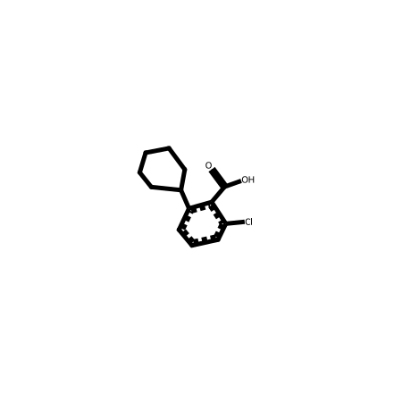 O=C(O)c1c(Cl)cccc1C1CCCCC1